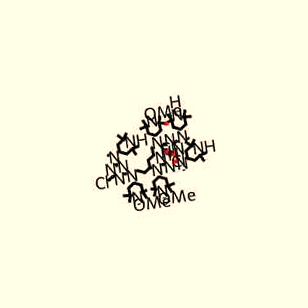 CON1C(C)(C)CC(N(CCCC(CCN(c2nc(Cl)nc(N(C)C3CC(C)(C)NC(C)(C)C3)n2)C2CC(C)(C)N(OC)C(C)(C)C2)N(c2nc(Cl)nc(N(C)C3CC(C)(C)NC(C)(C)C3)n2)C2CC(C)(C)N(OC)C(C)(C)C2)c2nc(Cl)nc(N(C)C3CC(C)(C)NC(C)(C)C3)n2)CC1(C)C